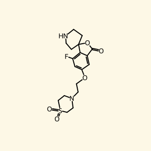 O=C1OC2(CCNCC2)c2c(F)cc(OCCN3CCS(=O)(=O)CC3)cc21